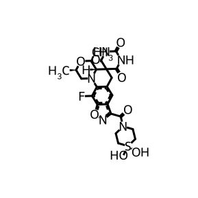 C[C@@H]1CN2c3c(cc4c(C(=O)N5CCS(O)(O)CC5)noc4c3F)CC3(C(=O)NC(=O)NC3=O)[C@H]2[C@H](C)O1